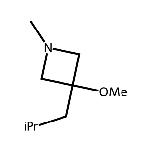 COC1(CC(C)C)CN(C)C1